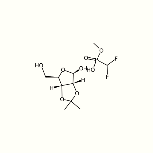 CC1(C)O[C@@H]2[C@H](O1)[C@@H](CO)O[C@H]2O.COP(=O)(O)C(F)F